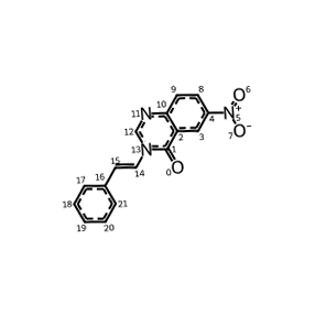 O=c1c2cc([N+](=O)[O-])ccc2ncn1C=Cc1ccccc1